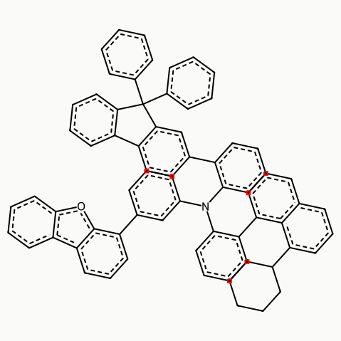 c1ccc(C2(c3ccccc3)c3ccccc3-c3ccc(-c4ccccc4N(c4cccc(-c5cccc6c5oc5ccccc56)c4)c4ccccc4-c4cccc5cccc(C6CCCCC6)c45)cc32)cc1